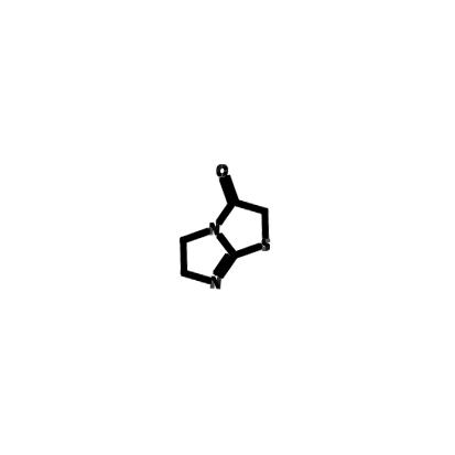 O=C1CSC2=NCCN12